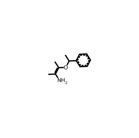 C/C(N)=C(\C)OC(C)c1ccccc1